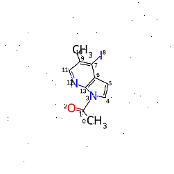 CC(=O)n1ccc2c(I)c(C)cnc21